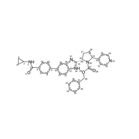 O=C(NC1CC1)c1ccc(-c2ccc3[nH]c([C@@H]4CSC(c5ccncc5)N4C(=O)OCc4ccccc4)nc3c2)cc1